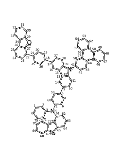 c1ccc(N(c2ccc(-c3ccc4c(c3)c3cc(-c5ccc(-c6cccc7c6oc6ccccc67)cc5)ccc3n4-c3ccc4c5ccccc5c5ccccc5c4c3)cc2)c2cccc3sc4ccccc4c23)cc1